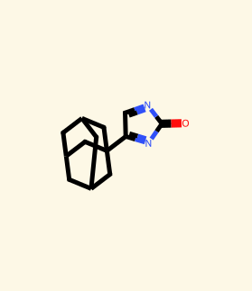 O=C1N=CC(C23CC4CC(CC(C4)C2)C3)=N1